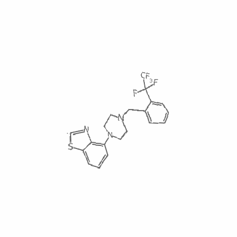 FC(F)(F)C(F)(F)c1ccccc1CN1CCN(c2cccc3s[c]nc23)CC1